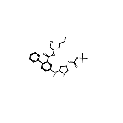 CSCC[C@@H](CO)NC(=O)c1cc(N(C)[C@H]2C[C@H](SC(=O)OC(C)(C)C)CN2)ccc1-c1ccccc1